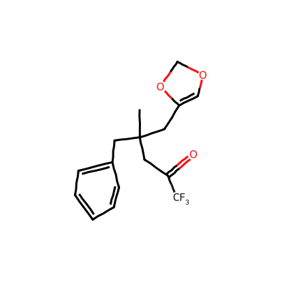 CC(CC(=O)C(F)(F)F)(CC1=COCO1)Cc1ccccc1